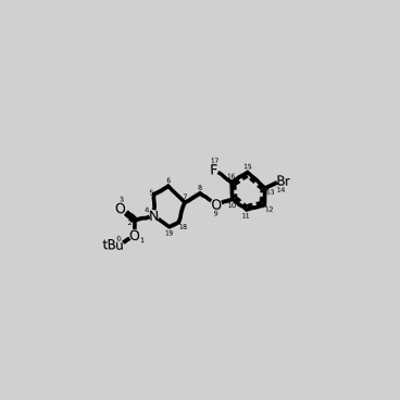 CC(C)(C)OC(=O)N1CCC(COc2ccc(Br)cc2F)CC1